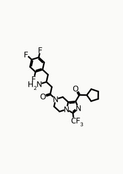 NC(CC(=O)N1CCn2c(C(F)(F)F)nc(C(=O)C3CCCC3)c2C1)Cc1cc(F)c(F)cc1F